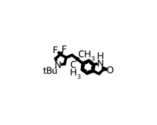 CC(C)(CC1CN(C(C)(C)C)CC1(F)F)c1ccc2c(c1)NC(=O)C2